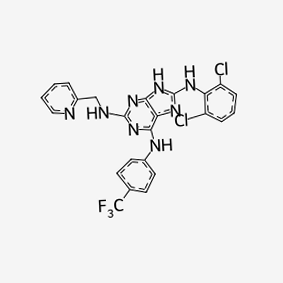 FC(F)(F)c1ccc(Nc2nc(NCc3ccccn3)nc3[nH]c(Nc4c(Cl)cccc4Cl)nc23)cc1